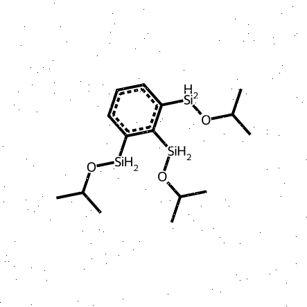 CC(C)O[SiH2]c1cccc([SiH2]OC(C)C)c1[SiH2]OC(C)C